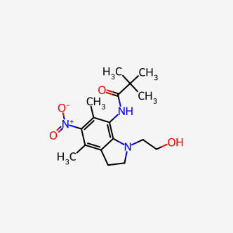 Cc1c2c(c(NC(=O)C(C)(C)C)c(C)c1[N+](=O)[O-])N(CCO)CC2